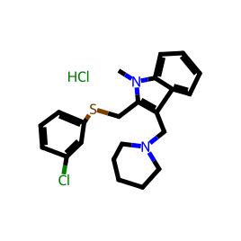 Cl.Cn1c(CSc2cccc(Cl)c2)c(CN2CCCCC2)c2ccccc21